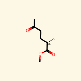 COC(=O)[C@@H](C)CCC(C)=O